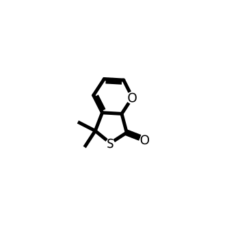 CC1(C)SC(=O)C2OC=CC=C21